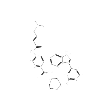 CN(C)CC=CC(=O)Nc1ccc(C(=O)N[C@H]2CCC[C@@H](Nc3nccc(-c4c[nH]c5ccccc45)n3)C2)cc1